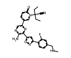 CCC(C#N)(CC)n1cc(-c2cnc(N)c(-c3cc(-c4ccc(CNC)cc4F)no3)n2)ccc1=O